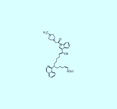 CCCCCCCC/C=C\CCCC(CCCC/C=C(\C#N)c1cn(C(=O)CN2CCN(C)CC2)c2ccccc12)c1nccc2ccccc12